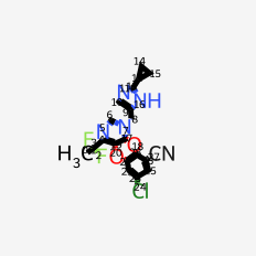 CC(F)(F)c1ncn(Cc2cnc(C3CC3)[nH]2)c(=O)c1Oc1cc(Cl)cc(C#N)c1